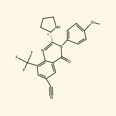 COc1ccc(-n2c([C@@H]3CCCN3)nc3c(C(F)(F)F)cc(C#N)cc3c2=O)cc1